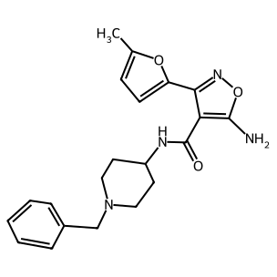 Cc1ccc(-c2noc(N)c2C(=O)NC2CCN(Cc3ccccc3)CC2)o1